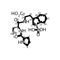 CC(C)C[C@H](NC(=O)c1ccc[nH]1)C(=O)N[C@@H](Cc1cn(P(=O)(O)O)c2ccccc12)C(=O)O